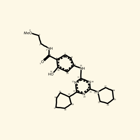 COCCNC(=O)c1ccc(Nc2nc(C3CCCCC3)nc(N3CCCCC3)n2)cc1O